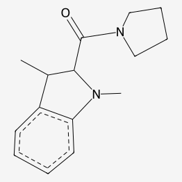 CC1c2ccccc2N(C)C1C(=O)N1CCCC1